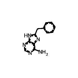 Nc1ncnc2[nH]c(Cc3ccccc3)nc12